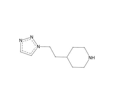 c1cn(CCC2CCNCC2)nn1